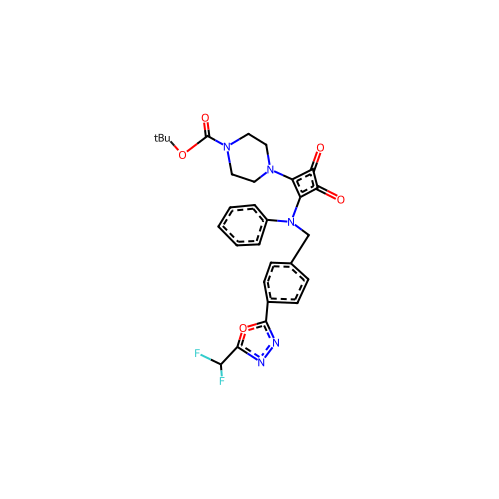 CC(C)(C)OC(=O)N1CCN(c2c(N(Cc3ccc(-c4nnc(C(F)F)o4)cc3)c3ccccc3)c(=O)c2=O)CC1